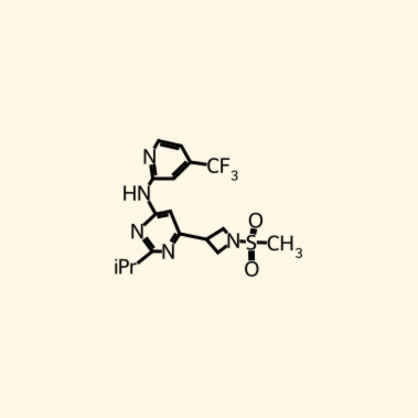 CC(C)c1nc(Nc2cc(C(F)(F)F)ccn2)cc(C2CN(S(C)(=O)=O)C2)n1